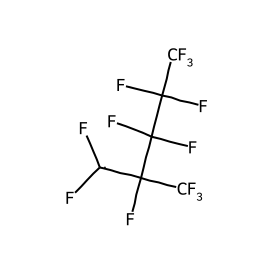 F[C](F)C(F)(C(F)(F)F)C(F)(F)C(F)(F)C(F)(F)F